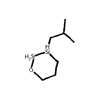 CC(C)C[SiH]1CCCO[SiH2]1